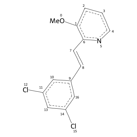 COc1cccnc1C=Cc1cc(Cl)cc(Cl)c1